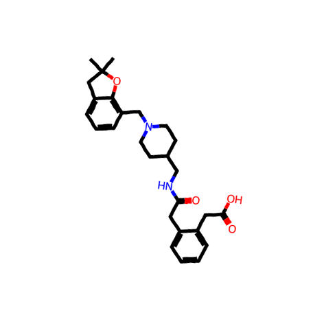 CC1(C)Cc2cccc(CN3CCC(CNC(=O)Cc4ccccc4CC(=O)O)CC3)c2O1